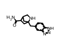 NC(=O)C1CC2(Cc3ccc4[nH]nnc4c3)CC1CN2